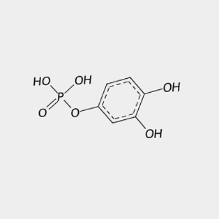 O=P(O)(O)Oc1ccc(O)c(O)c1